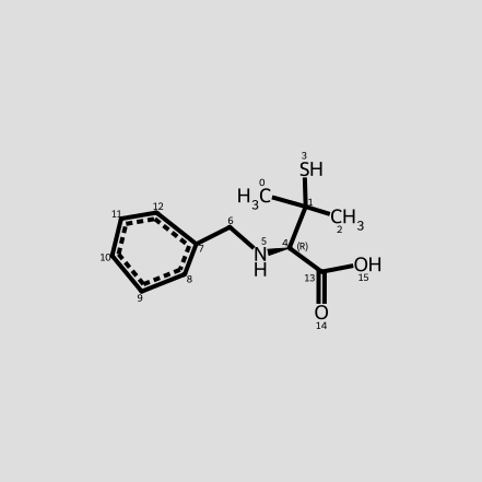 CC(C)(S)[C@H](NCc1ccccc1)C(=O)O